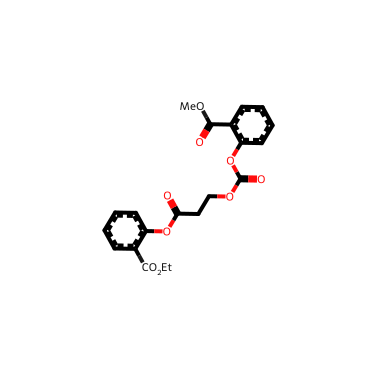 CCOC(=O)c1ccccc1OC(=O)CCOC(=O)Oc1ccccc1C(=O)OC